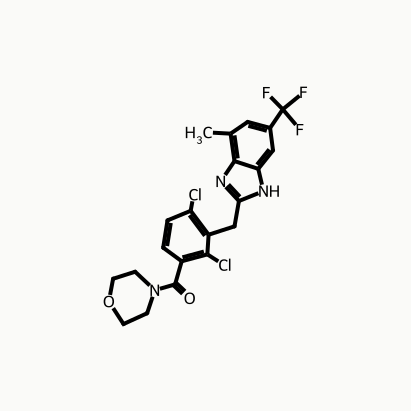 Cc1cc(C(F)(F)F)cc2[nH]c(Cc3c(Cl)ccc(C(=O)N4CCOCC4)c3Cl)nc12